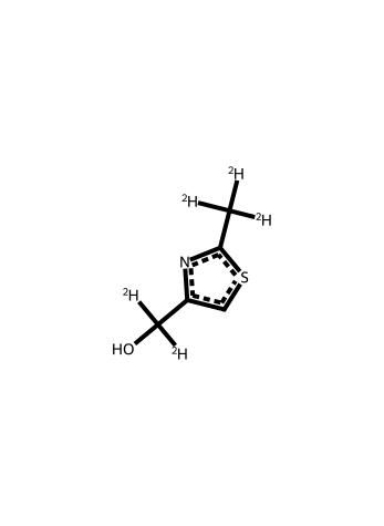 [2H]C([2H])([2H])c1nc(C([2H])([2H])O)cs1